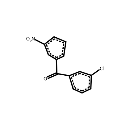 O=C(c1cccc(Cl)c1)c1cccc([N+](=O)[O-])c1